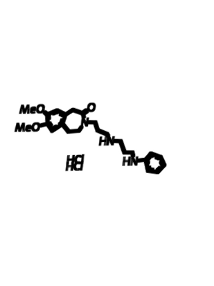 COc1cc2c(cc1OC)CC(=O)N(CCCNCCCNc1ccccc1)CC2.Cl.Cl